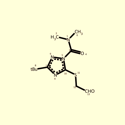 CN(C)C(=O)n1nc(C(C)(C)C)nc1SCC=O